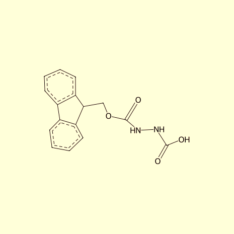 O=C(O)NNC(=O)OCC1c2ccccc2-c2ccccc21